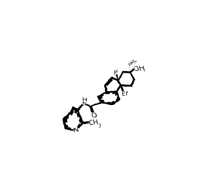 CCC[C@]1(O)CCC2(CC)c3ccc(C(=O)Nc4cccnc4C)cc3C=C[C@@H]2C1